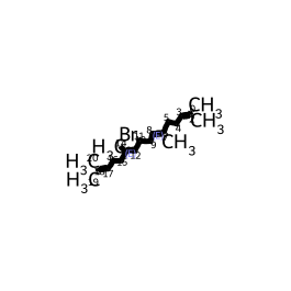 CC(C)=CCC/C(C)=C/CC(Br)/C=C(\C)CCC=C(C)C